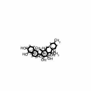 C[C@H]1CC[C@@H]2N(C1)C[C@@H]1[C@H]([C@@H](O)[C@H](O)[C@]3(O)[C@H]1C[C@@]14O[C@]5(O)C(CC[C@@H]31)[C@]4(C)CC[C@@H]5O)[C@]2(C)O